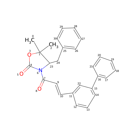 CC1(C)OC(=O)N(C(=O)/C=C/c2cccc(-c3ccccc3)c2)C1Cc1ccccc1